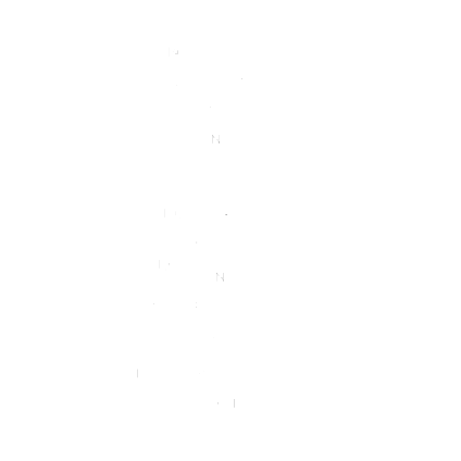 C=C(C)OC(=O)N1c2ccccc2C2(CCN(C(=O)OC(C)(C)C)CC2)C1(C)O